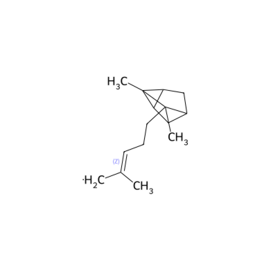 [CH2]/C(C)=C/CCC1(C)C2CC3C(C2)C31C